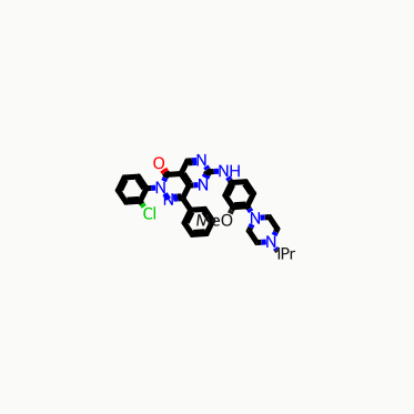 COc1cc(Nc2ncc3c(=O)n(-c4ccccc4Cl)nc(-c4ccccc4)c3n2)ccc1N1CCN(C(C)C)CC1